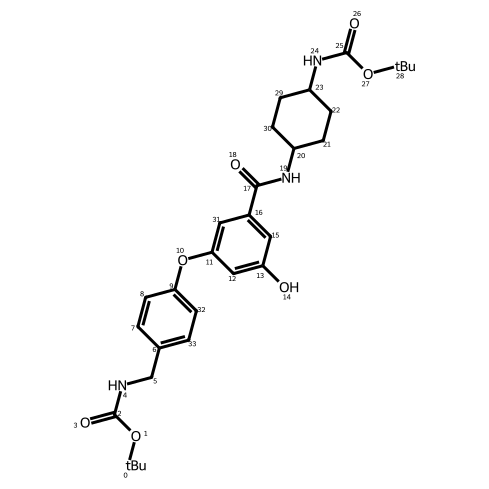 CC(C)(C)OC(=O)NCc1ccc(Oc2cc(O)cc(C(=O)NC3CCC(NC(=O)OC(C)(C)C)CC3)c2)cc1